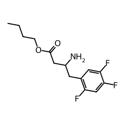 CCCCOC(=O)CC(N)Cc1cc(F)c(F)cc1F